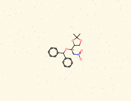 CC1(C)OCC([C@@H](C[N+](=O)[O-])OC(c2ccccc2)c2ccccc2)O1